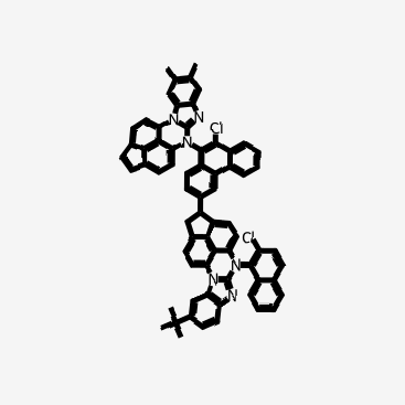 Cc1cc2nc3n(-c4c(Cl)c5ccccc5c5cc(C6Cc7ccc8c9c7c6ccc9n(-c6c(Cl)ccc7ccccc67)c6nc7ccc(C(C)(C)C)cc7n86)ccc45)c4ccc5ccc6ccc(c4c56)n3c2cc1C